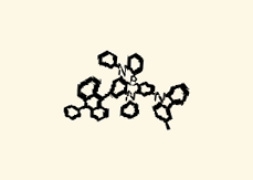 Cc1ccc2c(c1)c1ccccc1n2-c1ccc2c(c1)N(c1ccccc1)c1cc(-c3c4ccccc4c(-c4ccccc4)c4ccccc34)cc3c1B2c1ccccc1N3c1ccccc1